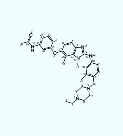 CCN1CCN(Cc2ccc(Nc3nc4ccc(Oc5ccnc(NC(C)=O)c5)c(C)c4n3C)cc2C)CC1